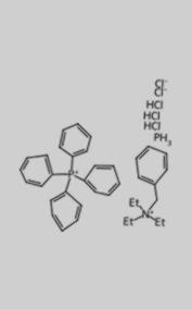 CC[N+](CC)(CC)Cc1ccccc1.Cl.Cl.Cl.P.[Cl-].[Cl-].c1ccc([P+](c2ccccc2)(c2ccccc2)c2ccccc2)cc1